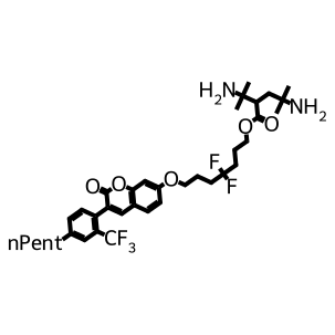 CCCCCc1ccc(-c2cc3ccc(OCCCC(F)(F)CCCOC(=O)C(CC(C)(C)N)C(C)(C)N)cc3oc2=O)c(C(F)(F)F)c1